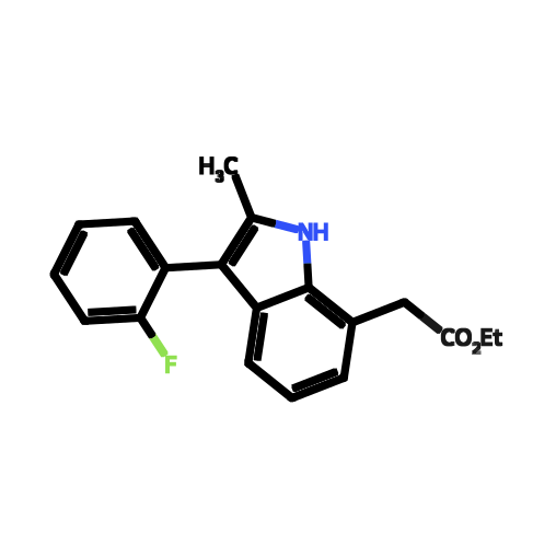 CCOC(=O)Cc1cccc2c(-c3ccccc3F)c(C)[nH]c12